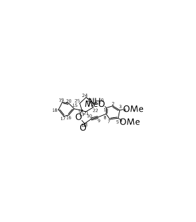 COc1cc(OC)c(OC)cc1C#CC(=O)OC1(c2ccccc2)CCNCC1